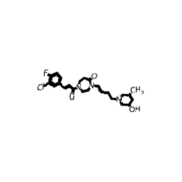 CC1CC(O)CN(CCCCN2CCN(C(=O)C=Cc3ccc(F)c(Cl)c3)CCC2=O)C1